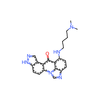 CN(C)CCCCNc1ccc2ncn3c4ccc5[nH]ncc5c4c(=O)c1c23